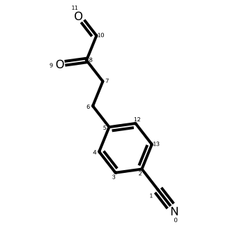 N#Cc1ccc(CCC(=O)C=O)cc1